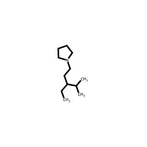 CCC(CCN1CCCC1)C(C)C